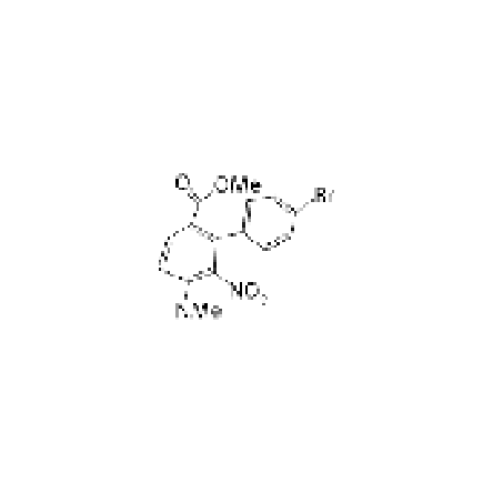 CNc1ccc(C(=O)OC)c(-c2ccc(Br)cc2)c1[N+](=O)[O-]